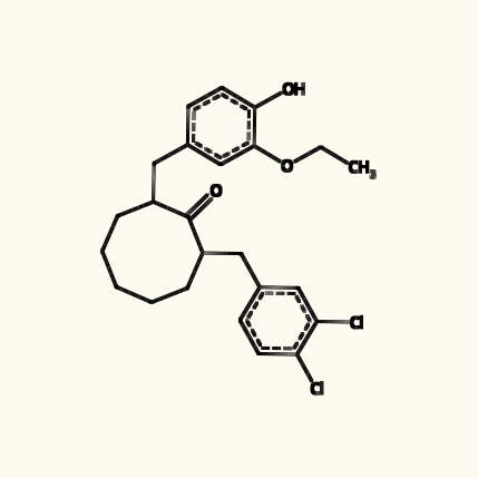 CCOc1cc(CC2CCCCCC(Cc3ccc(Cl)c(Cl)c3)C2=O)ccc1O